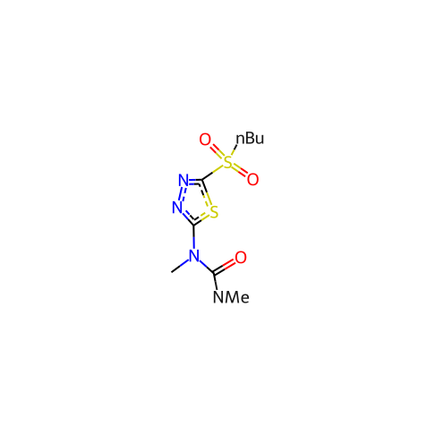 CCCCS(=O)(=O)c1nnc(N(C)C(=O)NC)s1